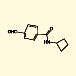 O=Cc1ccc(C(=O)NC2CCC2)cc1